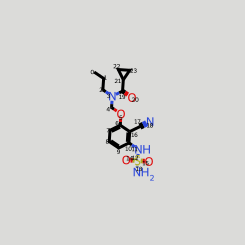 CCCN(COc1cccc(NS(N)(=O)=O)c1C#N)C(=O)C1CC1